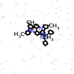 Cc1ccc2c(c1)c1cc(C)ccc1n2-c1ccc(-c2nc(-c3ccccc3)nc(-c3ccccc3)n2)cc1-c1c(C#N)cccc1-n1c2ccc(C)cc2c2cc(C)ccc21